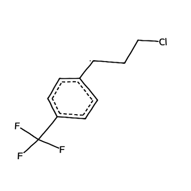 FC(F)(F)c1ccc([CH]CCCl)cc1